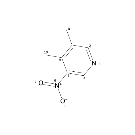 Cc1[c]ncc([N+](=O)[O-])c1C